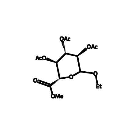 CCOC1O[C@H](C(=O)OC)[C@@H](OC(C)=O)[C@H](OC(C)=O)[C@H]1OC(C)=O